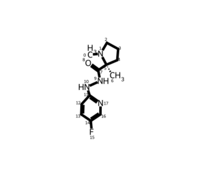 CN1CCC[C@@]1(C)C(=O)NNc1ccc(F)cn1